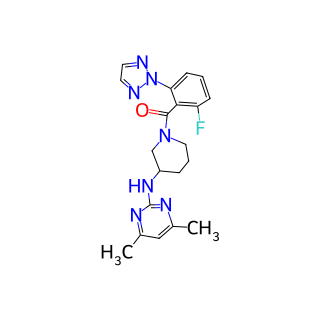 Cc1cc(C)nc(NC2CCCN(C(=O)c3c(F)cccc3-n3nccn3)C2)n1